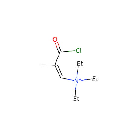 CC[N+](C=C(C)C(=O)Cl)(CC)CC